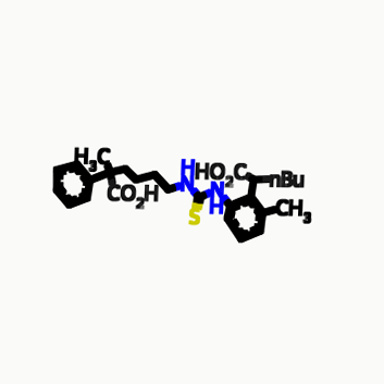 CCCCC(C(=O)O)c1c(C)cccc1NC(=S)NCCCCC(C)(C(=O)O)c1ccccc1